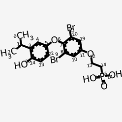 CC(C)c1cc(Oc2c(Br)cc(OCCP(=O)(O)O)cc2Br)ccc1O